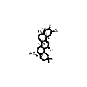 CC(=O)OC[C@]12CCC(C)(C)CC1C1C(=O)C=C3[C@@]4(C)C=C(C#N)C(=O)[C@@H](C)[C@@H]4CC[C@@]3(C)[C@]1(C)CC2